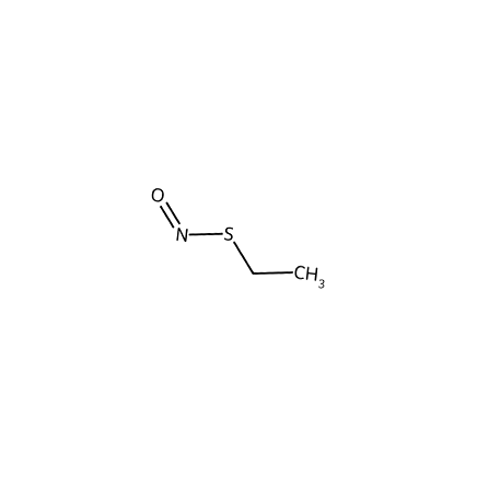 CCSN=O